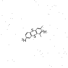 [2H]c1ccc2c(c1)Sc1c(cc(C)c([2H])c1C)S2